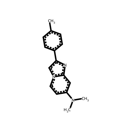 Cc1ccc(-c2cn3ccc(N(C)C)cc3n2)cc1